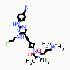 CC(C(=O)NC1CC(C#Cc2cnc(Nc3ccc(C#N)cc3)nc2NCCCF)C1)N(C)C(=O)C=CCN(C)C